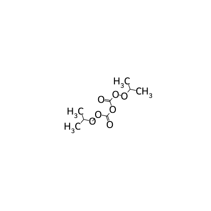 CC(C)OOC(=O)OC(=O)OOC(C)C